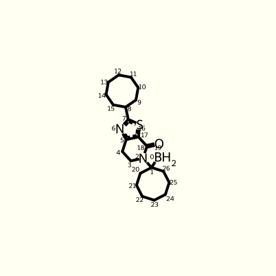 BC1(N2CCc3nc(C4CCCCCCC4)sc3C2=O)CCCCCCC1